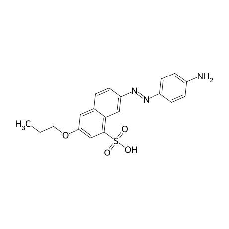 CCCOc1cc(S(=O)(=O)O)c2cc(N=Nc3ccc(N)cc3)ccc2c1